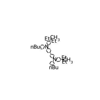 CCCCc1ccc(N(c2ccc(-c3ccc(N(c4ccc(CCCC)cc4)c4ccc(C(C)(CC)CC)cc4)cc3)cc2)c2ccc(C(C)(CC)CC)cc2)cc1